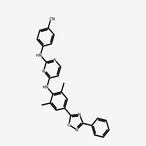 Cc1cc(-c2nc(-c3ccccc3)no2)cc(C)c1Nc1ccnc(Nc2ccc(C#N)cc2)n1